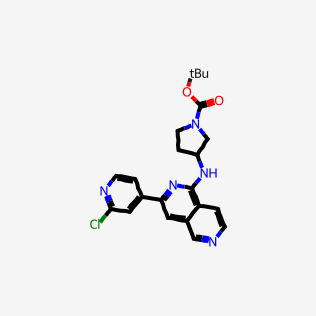 CC(C)(C)OC(=O)N1CCC(Nc2nc(-c3ccnc(Cl)c3)cc3cnccc23)C1